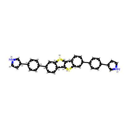 c1cc(-c2ccc(-c3ccc4c(c3)sc3c5ccc(-c6ccc(-c7cc[nH]c7)cc6)cc5sc43)cc2)c[nH]1